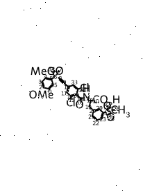 COc1cccc(P(=O)(C#Cc2cc(Cl)c(C(=O)NC(Cc3cccc(S(C)(=O)=O)c3)C(=O)O)c(Cl)c2)OC)c1